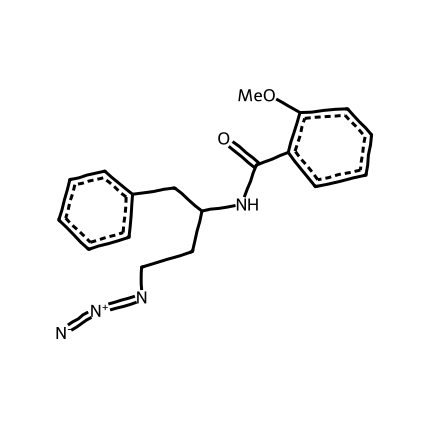 COc1ccccc1C(=O)NC(CCN=[N+]=[N-])Cc1ccccc1